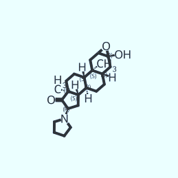 C[C@]12CC3O[C@]3(O)C[C@@H]1CC[C@@H]1[C@@H]2CC[C@]2(C)C(=O)[C@H](N3CCCC3)C[C@@H]12